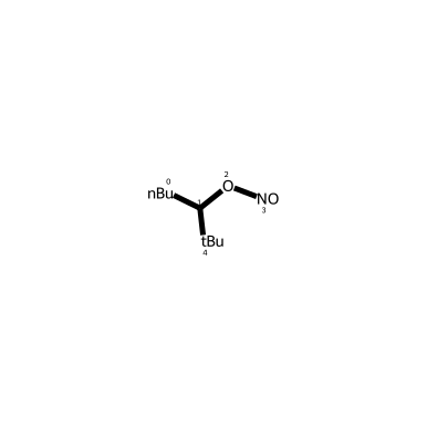 CCCCC(ON=O)C(C)(C)C